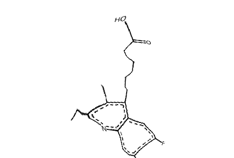 CCc1nc2cc(C)c(F)cc2c(CCCCC(=O)O)c1C